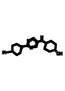 CC(C)C1CCN(c2ncc(NC3CCC(O)CC3)cn2)CC1